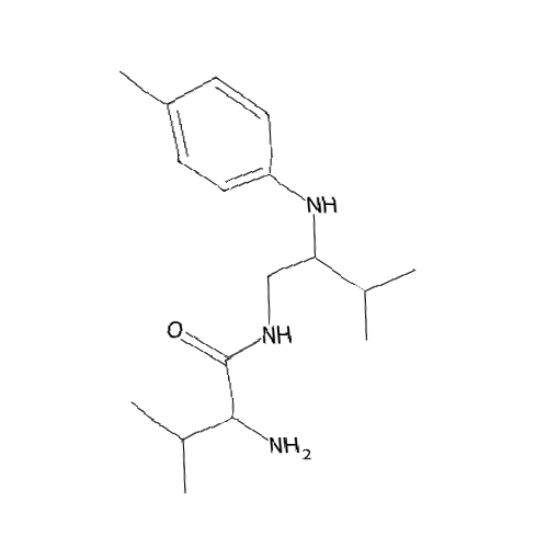 Cc1ccc(NC(CNC(=O)C(N)C(C)C)C(C)C)cc1